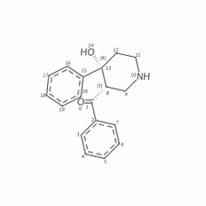 O=C(c1ccccc1)[C@H]1CNCC[C@]1(O)c1ccccc1